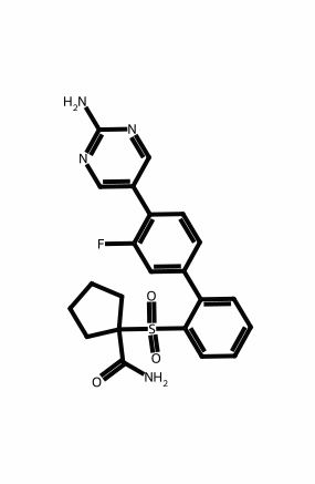 NC(=O)C1(S(=O)(=O)c2ccccc2-c2ccc(-c3cnc(N)nc3)c(F)c2)CCCC1